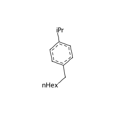 [CH2]CCCCCCc1ccc(C(C)C)cc1